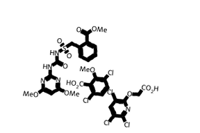 COC(=O)c1ccccc1CS(=O)(=O)NC(=O)Nc1nc(OC)cc(OC)n1.COc1c(Cl)ccc(Cl)c1C(=O)O.O=C(O)COc1nc(Cl)c(Cl)cc1Cl